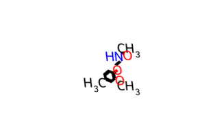 COc1cc(C)ccc1OCCNC(C)=O